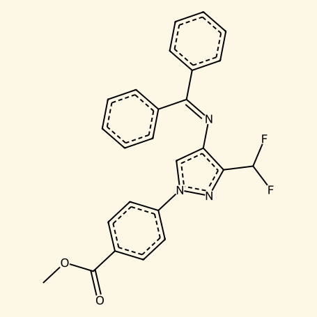 COC(=O)c1ccc(-n2cc(N=C(c3ccccc3)c3ccccc3)c(C(F)F)n2)cc1